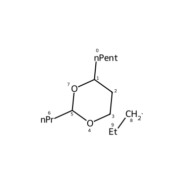 CCCCCC1CCOC(CCC)O1.[CH2]CC